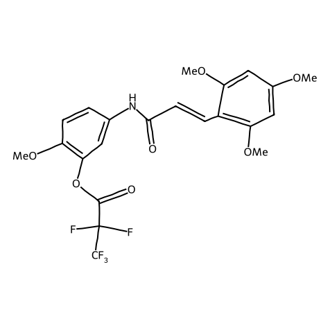 COc1cc(OC)c(C=CC(=O)Nc2ccc(OC)c(OC(=O)C(F)(F)C(F)(F)F)c2)c(OC)c1